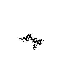 COc1ccc(F)c(-c2ncc(COc3cccc([C@H](O)CC(=O)O)c3)nc2OCC(C)C)c1